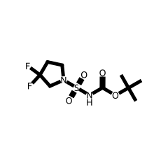 CC(C)(C)OC(=O)NS(=O)(=O)N1CCC(F)(F)C1